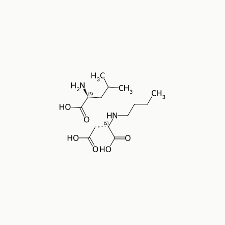 CC(C)C[C@H](N)C(=O)O.CCCCN[C@@H](CC(=O)O)C(=O)O